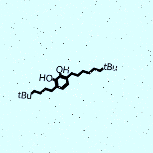 CC(C)(C)CCCCCCc1ccc(CCCCC(C)(C)C)c(O)c1O